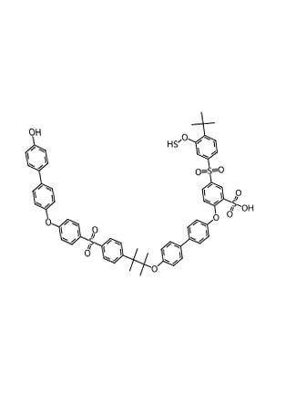 CC(C)(C)c1ccc(S(=O)(=O)c2ccc(Oc3ccc(-c4ccc(OC(C)(C)C(C)(C)c5ccc(S(=O)(=O)c6ccc(Oc7ccc(-c8ccc(O)cc8)cc7)cc6)cc5)cc4)cc3)c(S(=O)(=O)O)c2)cc1OS